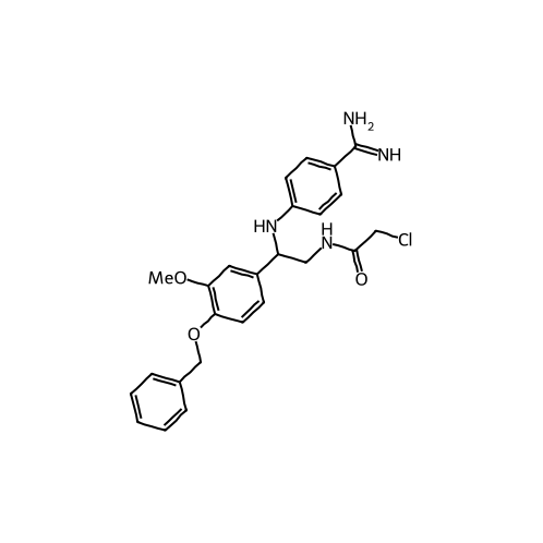 COc1cc(C(CNC(=O)CCl)Nc2ccc(C(=N)N)cc2)ccc1OCc1ccccc1